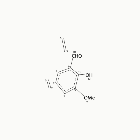 C=C.C=C.COc1cccc(C=O)c1O